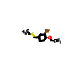 CCOc1ccc(CSCC)cc1Br